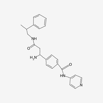 CC(CNC(=O)CC(N)c1ccc(C(=O)Nc2ccncc2)cc1)c1ccccc1